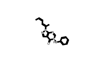 C/C=C\C=C(/C)n1ncc2c(=O)n(Bc3ccccc3)cnc21